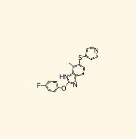 Cc1c(Sc2ccncc2)ccc2nc(Oc3ccc(F)cc3)[nH]c12